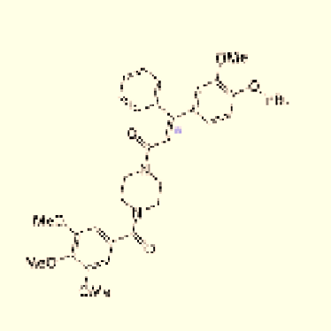 CCCCOc1ccc(/C(=C/C(=O)N2CCN(C(=O)c3cc(OC)c(OC)c(OC)c3)CC2)c2ccccc2)cc1OC